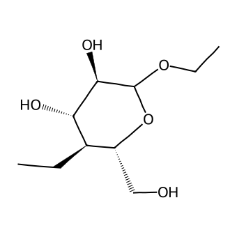 CCOC1O[C@H](CO)[C@@H](CC)[C@H](O)[C@H]1O